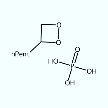 CCCCCC1COO1.O=P(O)(O)O